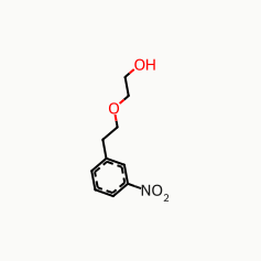 O=[N+]([O-])c1cccc(CCOCCO)c1